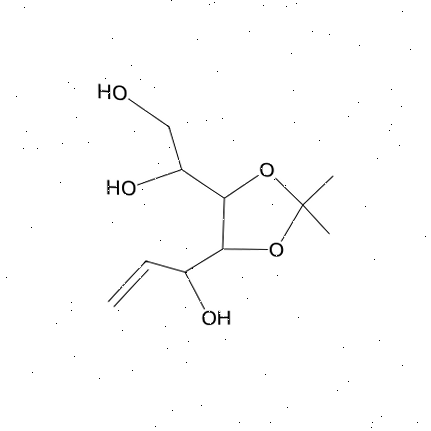 C=CC(O)C1OC(C)(C)OC1C(O)CO